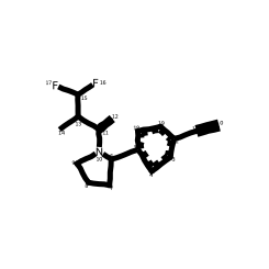 C#Cc1ccc(C2CCCN2C(=C)C(C)C(F)F)cc1